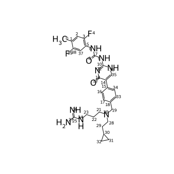 Cc1cc(F)c(NC(=O)Nc2nc(=O)c(-c3ccc(CN(CCCNC(=N)N)CCC4CC4)cc3)c[nH]2)cc1F